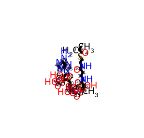 C=C(C)C(=O)SCCNC(=O)CCNC(=O)[C@H](O)C(C)(C)OP(=O)(O)OP(=O)(O)OCC1OC(n2cnc3c(N)ncnc32)C(O)C1OP(=O)(O)O